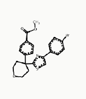 COC(=O)c1ccc(C2(c3nc(-c4ccc(Br)cc4)cs3)CCOCC2)cc1